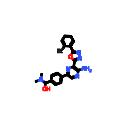 CCc1ccccc1-c1nnc(-c2nc(-c3ccc(C(O)N(C)C)cc3)cnc2N)o1